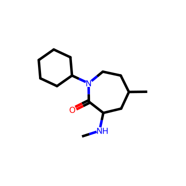 CNC1CC(C)CCN(C2CCCCC2)C1=O